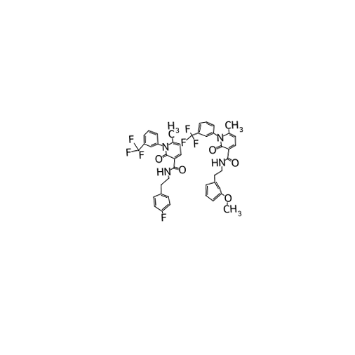 COc1cccc(CCNC(=O)c2ccc(C)n(-c3cccc(C(F)(F)F)c3)c2=O)c1.Cc1ccc(C(=O)NCCc2ccc(F)cc2)c(=O)n1-c1cccc(C(F)(F)F)c1